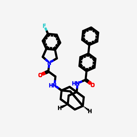 O=C(NC12C[C@@H]3C[C@@H](CC(NCC(=O)N4Cc5ccc(F)cc5C4)(C3)C1)C2)c1ccc(-c2ccccc2)cc1